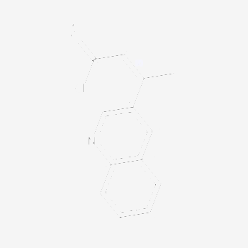 C/C(=C/C(=O)Cl)c1cnc2ccccc2c1